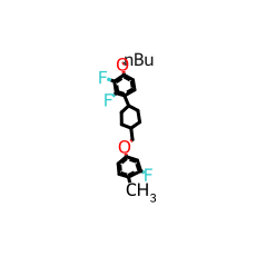 CCCCOc1ccc(C2CCC(COc3ccc(C)c(F)c3)CC2)c(F)c1F